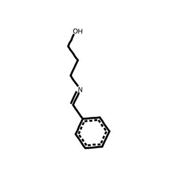 OCCCN=Cc1ccccc1